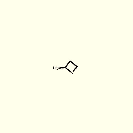 OC1[CH]CS1